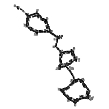 Fc1ccc(NCc2nnc(-c3cccnc3)o2)cc1